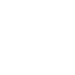 CC(CC1=CO1)O[Si](C)(C)C(C)(C)C